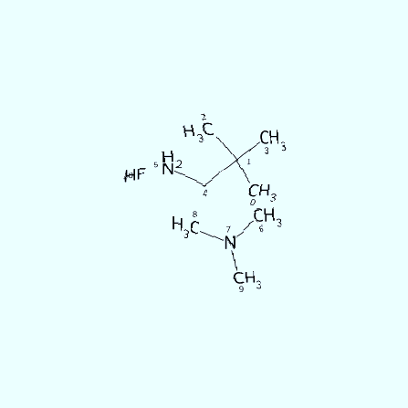 CC(C)(C)CN.CN(C)C.F